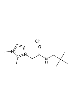 Cc1n(CC(=O)NCC(C)(C)C)cc[n+]1C.[Cl-]